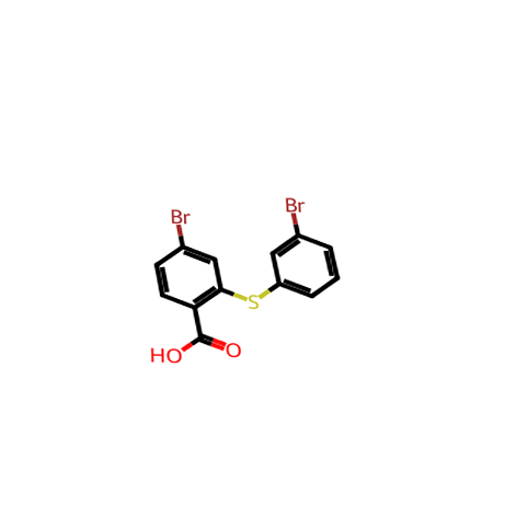 O=C(O)c1ccc(Br)cc1Sc1cccc(Br)c1